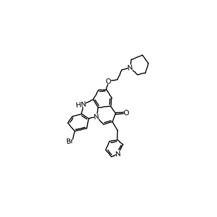 O=c1c(Cc2cccnc2)cn2c3c(cc(OCCN4CCCCC4)cc13)Nc1ccc(Br)cc1-2